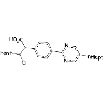 CCCCCCCc1cnc(-c2ccc(C(C(=O)O)C(Cl)C(C)CCC)cc2)nc1